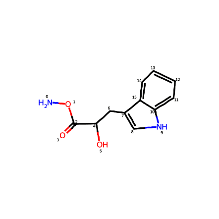 NOC(=O)C(O)Cc1c[nH]c2ccccc12